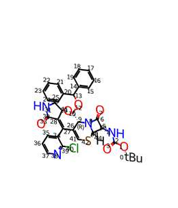 CC(C)(C)OC(=O)N[C@@H]1C(=O)N2[C@@H](C(=O)OC(c3ccccc3)c3ccccc3)C(C(=C3CCNC3=O)c3cccnc3Cl)=CS[C@H]12